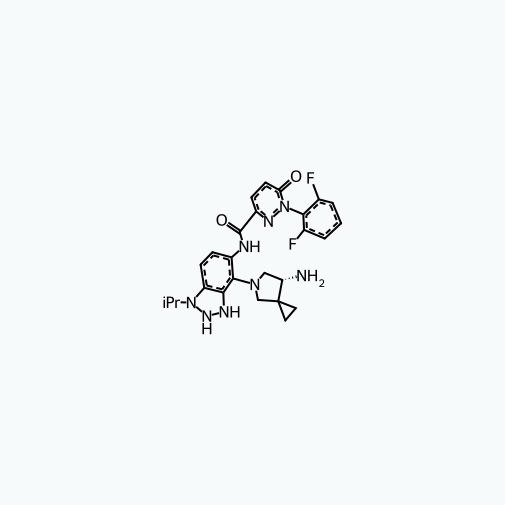 CC(C)N1NNc2c1ccc(NC(=O)c1ccc(=O)n(-c3c(F)cccc3F)n1)c2N1C[C@H](N)C2(CC2)C1